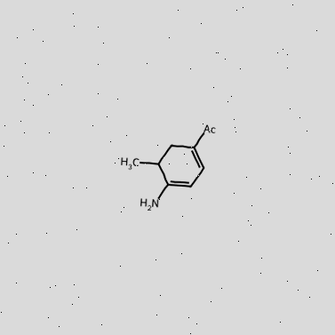 CC(=O)C1=CC=C(N)C(C)C1